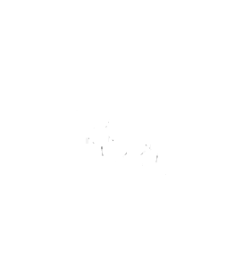 Cc1nc(C(=O)CN2C(=O)NC3(CCC(F)(F)CC3)C2=O)sc1Br